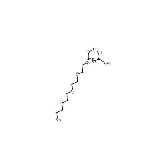 CCOCC.COB(O)O.OCCOCCOCCOCCO